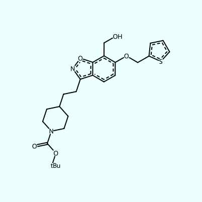 CC(C)(C)OC(=O)N1CCC(CCc2noc3c(CO)c(OCc4cccs4)ccc23)CC1